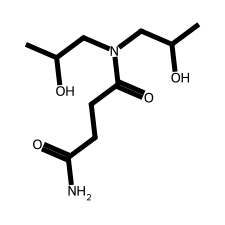 CC(O)CN(CC(C)O)C(=O)CCC(N)=O